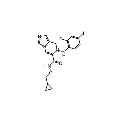 O=C(NOCC1CC1)C1=C[N+]2C=NC=C2CN1Nc1ccc(I)cc1F